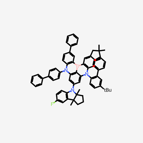 CC1(C)Cc2cc3c(cc2C1)N(c1ccc(C(C)(C)C)cc1-c1ccccc1)c1cc(N2c4ccc(F)cc4C4(C)CCCC24C)cc2c1B3c1cc(-c3ccccc3)ccc1N2c1ccc(-c2ccccc2)cc1